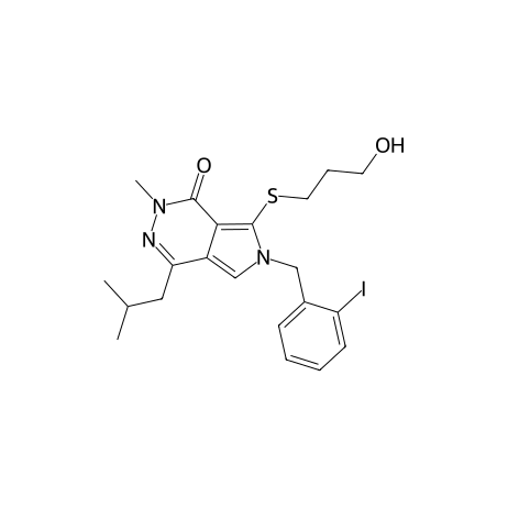 CC(C)Cc1nn(C)c(=O)c2c(SCCCO)n(Cc3ccccc3I)cc12